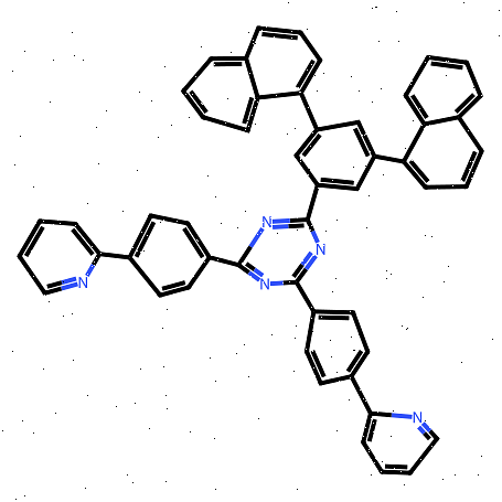 c1ccc(-c2ccc(-c3nc(-c4ccc(-c5ccccn5)cc4)nc(-c4cc(-c5cccc6ccccc56)cc(-c5cccc6ccccc56)c4)n3)cc2)nc1